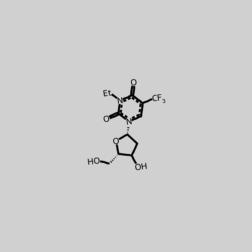 CCn1c(=O)c(C(F)(F)F)cn([C@@H]2CC(O)[C@H](CO)O2)c1=O